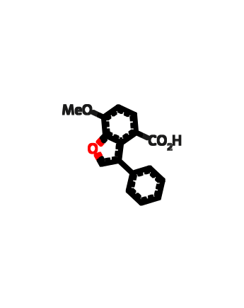 COc1ccc(C(=O)O)c2c(-c3ccccc3)coc12